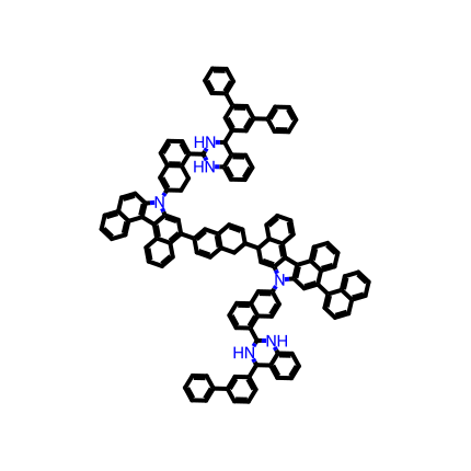 C1=CC2=c3c(n(-c4ccc5c(C6Nc7ccccc7C(c7cccc(-c8ccccc8)c7)N6)cccc5c4)c4cc(-c5cccc6ccccc56)c5ccccc5c34)=CC(C3C=Cc4cc(-c5cc6c(c7ccccc57)c5c7ccccc7ccc5n6C5=Cc6cccc(C7Nc8ccccc8C(c8cc(-c9ccccc9)cc(-c9ccccc9)c8)N7)c6CC5)ccc4C3)C2C=C1